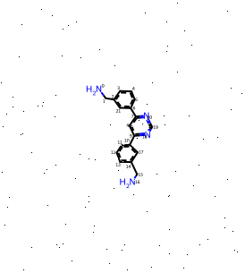 NCc1cccc(-c2cc(-c3cccc(CN)c3)ncn2)c1